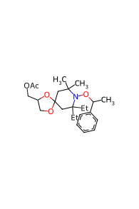 CCC1(CC)CC2(CC(C)(C)N1OC(C)c1ccccc1)OCC(COC(C)=O)O2